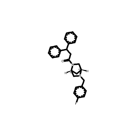 O=C(CC(c1ccccc1)c1ccccc1)N1C[C@H]2C[C@@H]1CN2Cc1ccc(F)cc1